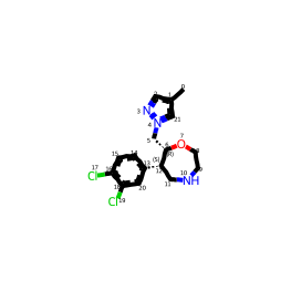 Cc1cnn(C[C@@H]2OCCNC[C@@H]2c2ccc(Cl)c(Cl)c2)c1